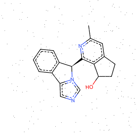 Cc1cc2c(c([C@@H]3c4ccccc4-c4cncn43)n1)C(O)CC2